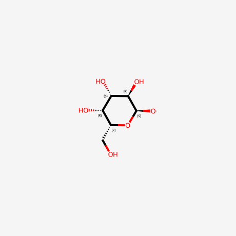 [O][C@H]1O[C@H](CO)[C@H](O)[C@H](O)[C@H]1O